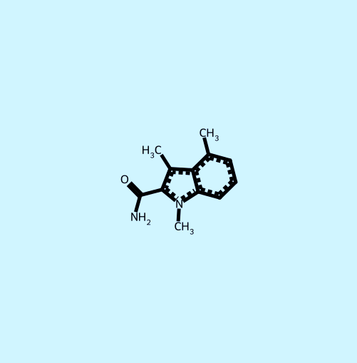 Cc1cccc2c1c(C)c(C(N)=O)n2C